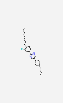 CCCCCCCCc1ccc(-c2ncc(C3CCC(CCCC)CC3)cn2)cc1F